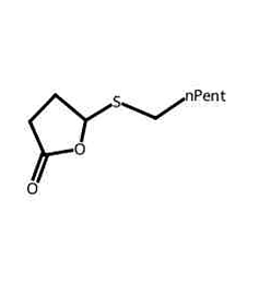 CCCCCCSC1CCC(=O)O1